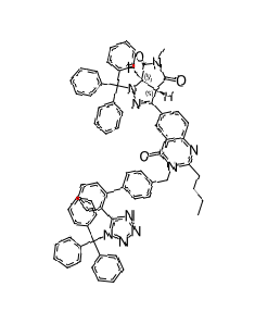 CCCCc1nc2ccc(C3=NN(C(c4ccccc4)(c4ccccc4)c4ccccc4)[C@@H]4C(=O)N(C)C(=O)[C@H]34)cc2c(=O)n1Cc1ccc(-c2ccccc2-c2nnnn2C(c2ccccc2)(c2ccccc2)c2ccccc2)cc1